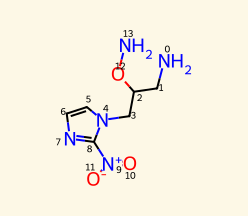 NCC(Cn1ccnc1[N+](=O)[O-])ON